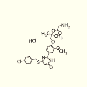 COc1cc(-c2nc(SCc3ccc(Cl)cc3)cc(=O)[nH]2)ccc1OCC(C)(C)OC(=O)CN.Cl